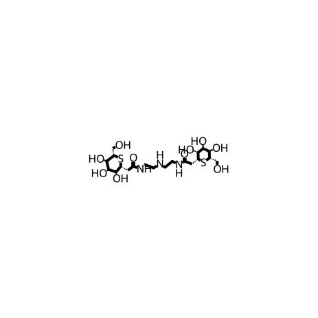 O=C(C[C@H]1S[C@@H](CO)[C@H](O)[C@H](O)[C@H]1O)NCCNCCNC(=O)C[C@H]1S[C@@H](CO)[C@H](O)[C@H](O)[C@H]1O